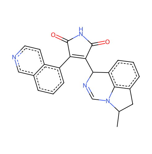 CC1Cc2cccc3c2N1C=NC3C1=C(c2cccc3cnccc23)C(=O)NC1=O